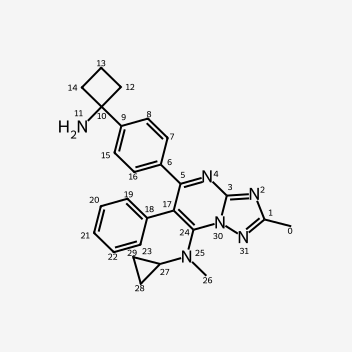 Cc1nc2nc(-c3ccc(C4(N)CCC4)cc3)c(-c3ccccc3)c(N(C)C3CC3)n2n1